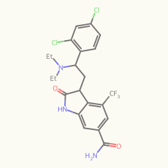 CCN(CC)C(CC1C(=O)Nc2cc(C(N)=O)cc(C(F)(F)F)c21)c1ccc(Cl)cc1Cl